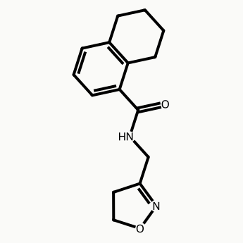 O=C(NCC1=NOCC1)c1cccc2c1CCCC2